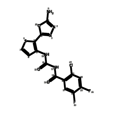 Nc1nnc(-c2sccc2NC(=O)NC(=O)c2cc(F)c(F)cc2Cl)o1